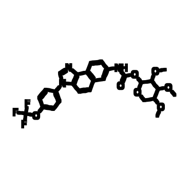 COC1COC(OC(=O)Nc2ccc3c(ccc4c3ncn4-c3ccc(OC(F)(F)F)cc3)c2)C(OC)C1OC